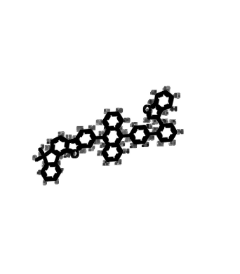 CC1(C)c2ccccc2-c2c1ccc1c2oc2cc(-c3c4ccccc4c(-c4ccc(-c5ccccc5-c5coc6ccccc56)cc4)c4ccccc34)ccc21